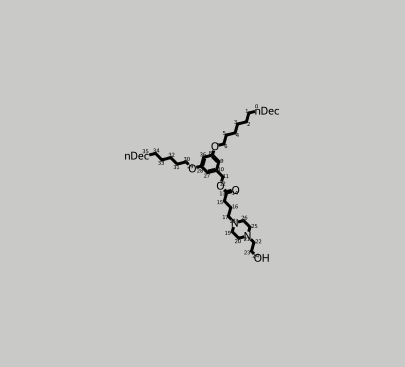 CCCCCCCCCCCCCCCCOc1cc(COC(=O)CCCN2CCN(CCO)CC2)cc(OCCCCCCCCCCCCCCC)c1